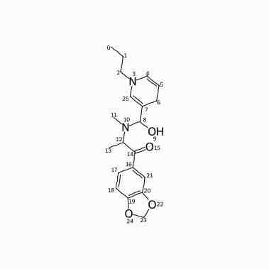 CCCN1C=CCC(C(O)N(C)C(C)C(=O)c2ccc3c(c2)OCO3)=C1